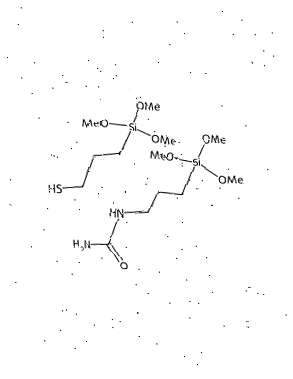 CO[Si](CCCNC(N)=O)(OC)OC.CO[Si](CCCS)(OC)OC